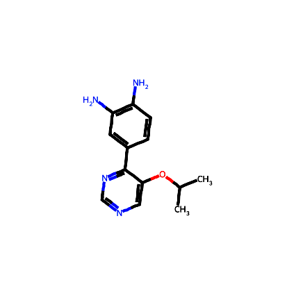 CC(C)Oc1cncnc1-c1ccc(N)c(N)c1